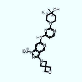 CC[C@H](C)n1nc(N2CC3(COC3)C2)c2cnc(Nc3ccnc(N4CC[C@@](C)(O)[C@@H](F)C4)n3)cc21